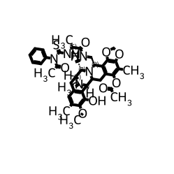 COc1c(C)cc2c(c1O)[C@@H]1C3Cc4c(OC(C)=O)c(C)c5c(c4[C@H](CNC(=O)[C@H](C)NC(=S)N(C(C)=O)c4ccccc4)N3[C@@H](C#N)[C@H](C2)N1C)OCO5